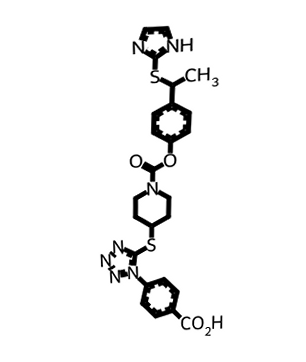 CC(Sc1ncc[nH]1)c1ccc(OC(=O)N2CCC(Sc3nnnn3-c3ccc(C(=O)O)cc3)CC2)cc1